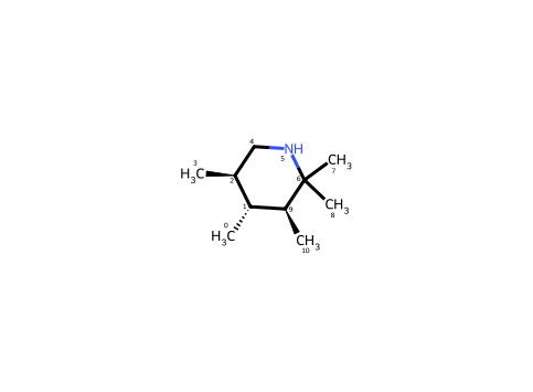 C[C@@H]1[C@@H](C)CNC(C)(C)[C@H]1C